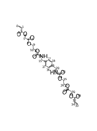 C=CC(=O)OCC(=O)OCCOC(=O)NCc1ccc(CNC(=O)OCCOC(=O)COC(=O)C=C)cc1